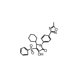 Cc1nc(-c2ccc(N3C(=O)C(O)=C(S(=O)(=O)c4ccccc4)C3C3CCCCC3)cc2)no1